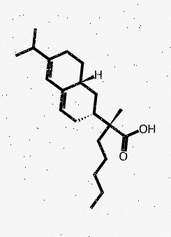 CCCCC[C@@](C)(C(=O)O)[C@@H]1CC=C2C=C(C(C)C)CC[C@@H]2C1